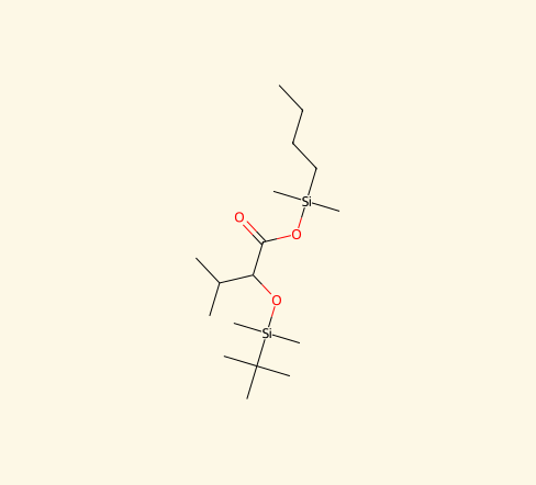 CCCC[Si](C)(C)OC(=O)C(O[Si](C)(C)C(C)(C)C)C(C)C